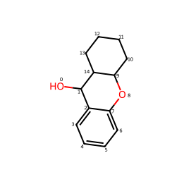 OC1c2ccccc2OC2CCCCC21